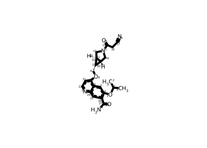 CC(C)Oc1cc2c(OC[C@@H]3[C@H]4CN(C(=O)CC#N)C[C@@H]34)ccnc2cc1C(N)=O